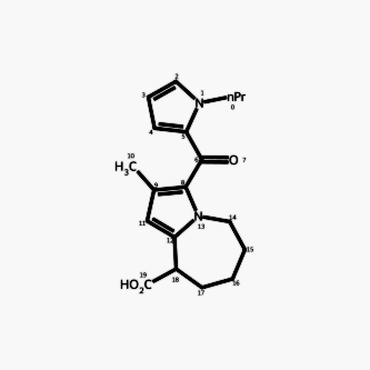 CCCn1cccc1C(=O)c1c(C)cc2n1CCCCC2C(=O)O